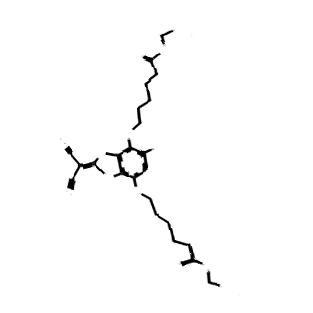 CCOC(=O)CCCCCOc1cc(C)c(OCCCCCC(=O)OCC)c2c1SC(=C(C#N)C#N)S2